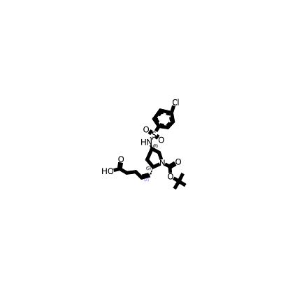 CC(C)(C)OC(=O)N1C[C@H](NS(=O)(=O)c2ccc(Cl)cc2)C[C@H]1/C=C\CCC(=O)O